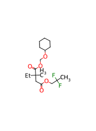 CCC(C)(CC(=O)OCC(C)(F)F)C(=O)OCOC1CCCCC1